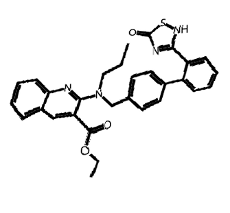 CCCN(Cc1ccc(-c2ccccc2-c2nc(=O)s[nH]2)cc1)c1nc2ccccc2cc1C(=O)OCC